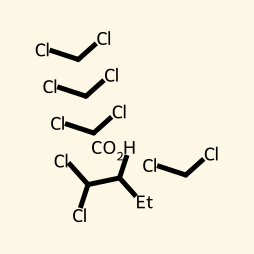 CCC(C(=O)O)C(Cl)Cl.ClCCl.ClCCl.ClCCl.ClCCl